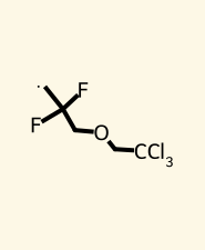 [CH2]C(F)(F)COCC(Cl)(Cl)Cl